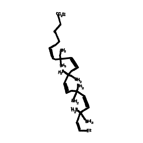 BC(B)(/C=C\CC)/C=C\C(B)(B)/C=C\C(B)(B)/C=C\C(B)(B)/C=C\CCCC(=O)OCC